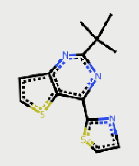 CC(C)(C)c1nc(-c2nccs2)c2sccc2n1